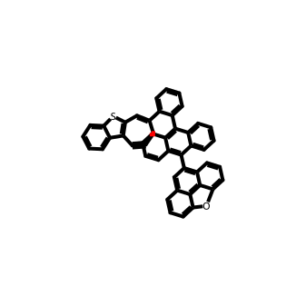 C1#Cc2c(sc3ccccc23)C=C(c2ccccc2-c2c3c(c(-c4cc5cccc6oc7cccc4c7c56)c4ccccc24)C=CCC3)C1